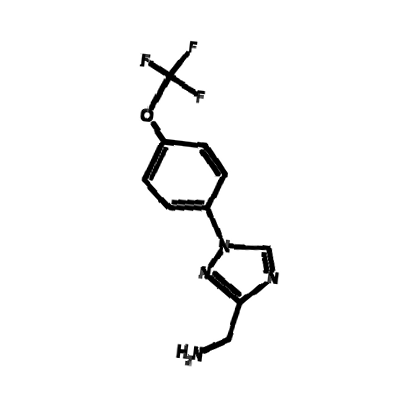 NCc1ncn(-c2ccc(OC(F)(F)F)cc2)n1